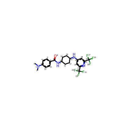 CN(C)c1ccc(C(=O)NC2CCC(Nc3cc(C(F)(F)F)nc(C(F)(F)F)c3)CC2)cc1